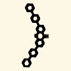 C1=CC(c2ccc(-c3ccc4c(c3)Oc3cc(-c5ccc(-c6ccccc6)cc5)ccc3N4)cc2)=CCC1